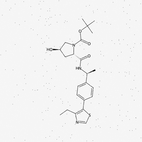 CCc1ncsc1-c1ccc([C@H](C)NC(=O)[C@@H]2C[C@@H](O)CN2C(=O)OC(C)(C)C)cc1